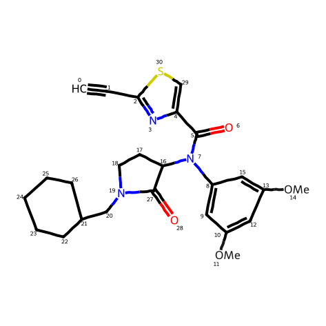 C#Cc1nc(C(=O)N(c2cc(OC)cc(OC)c2)C2CCN(CC3CCCCC3)C2=O)cs1